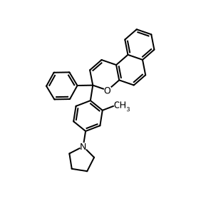 Cc1cc(N2CCCC2)ccc1C1(c2ccccc2)C=Cc2c(ccc3ccccc23)O1